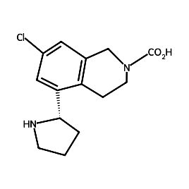 O=C(O)N1CCc2c(cc(Cl)cc2[C@@H]2CCCN2)C1